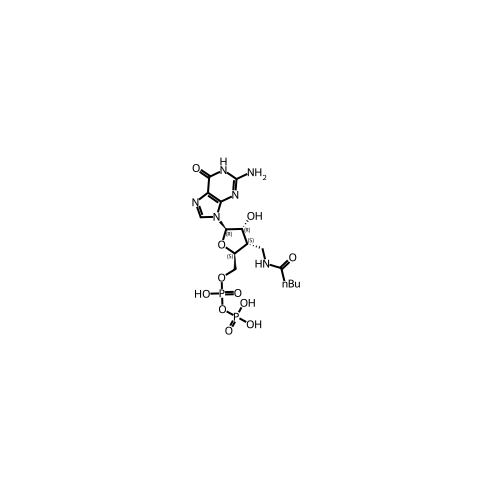 CCCCC(=O)NC[C@H]1[C@@H](O)[C@H](n2cnc3c(=O)[nH]c(N)nc32)O[C@@H]1COP(=O)(O)OP(=O)(O)O